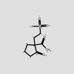 CC(=O)C1(CCS(=O)(=O)F)CCCC1=O